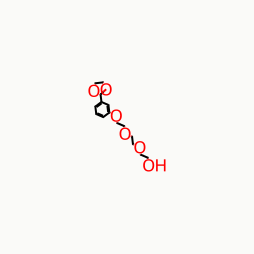 OCCOCCOCCOc1cccc(C2OCCO2)c1